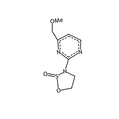 COCc1ccnc(N2CCOS2=O)n1